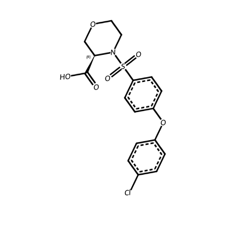 O=C(O)[C@H]1COCCN1S(=O)(=O)c1ccc(Oc2ccc(Cl)cc2)cc1